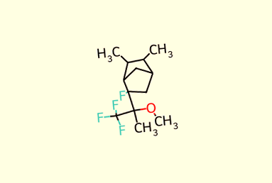 COC(C)(C(F)(F)F)C1(F)CC2CC1C(C)C2C